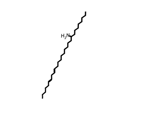 CCCCC/C=C/C/C=C/CCCCCCCCCC(N)CCCCCCCC